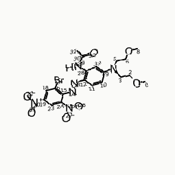 COCCN(CCOC)c1ccc(N=Nc2c(Br)cc([N+](=O)[O-])cc2[N+](=O)[O-])c(NC(C)=O)c1